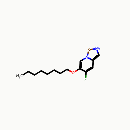 CCCCCCCCOC1=CN2SNC=C2C=C1F